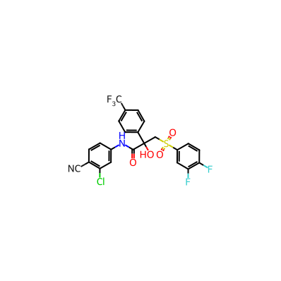 N#Cc1ccc(NC(=O)C(O)(CS(=O)(=O)c2ccc(F)c(F)c2)c2ccc(C(F)(F)F)cc2)cc1Cl